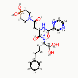 O=C(N[C@H](CC(=O)N1CCS(=O)(=O)CC1)C(=O)N[C@@H](CCCc1ccccc1)B(O)O)c1cnccn1